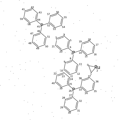 [CH2]1[CH2][Ru]1.c1ccc(P(c2ccccc2)c2ccccc2)cc1.c1ccc(P(c2ccccc2)c2ccccc2)cc1.c1ccc(P(c2ccccc2)c2ccccc2)cc1